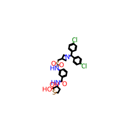 O=C(NC1CCSC1(O)O)c1cccc(NS(=O)(=O)CC2CN(C(c3ccc(Cl)cc3)c3ccc(Cl)cc3)C2)c1